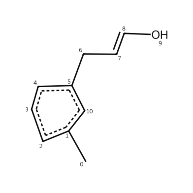 Cc1cccc(CC=CO)c1